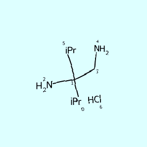 CC(C)C(N)(CN)C(C)C.Cl